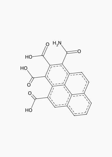 NC(=O)c1c(C(=O)O)c(C(=O)O)c2c(C(=O)O)cc3cccc4ccc1c2c43